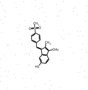 CC(=O)OC1=C(C)C(=Cc2ccc(S(C)(=O)=O)cc2)c2cc(S)ccc21